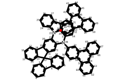 c1ccc2c(c1)-c1ccccc1C21c2ccccc2-c2cc(-n3c4ccccc4c4ccccc43)c(N(c3ccc4c5ccccc5c5ccccc5c4c3)c3ccc4c5ccccc5c5ccccc5c4c3)cc21